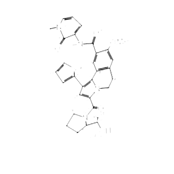 COc1cc2c(cc1C(=O)Nc1cccn(C)c1=O)-c1c(-c3cccs3)cc(C(=O)N3CCC[C@]3(C)[C@@H](C)O)n1CC2